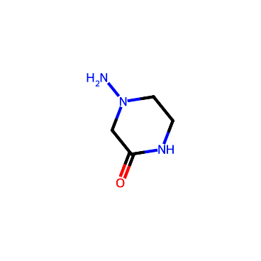 NN1CCNC(=O)C1